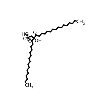 CCCCCCCCCCCCCCCC(=O)C(O)(CP(=O)(O)O)C(=O)CCCCCCCCCCCCCCC